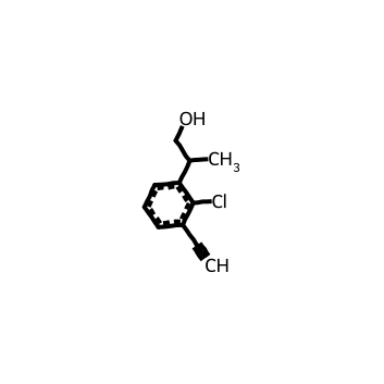 C#Cc1cccc([C](C)CO)c1Cl